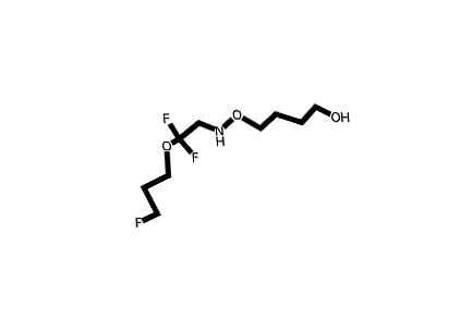 OCCCCONCC(F)(F)OCCCF